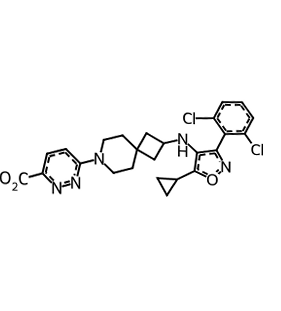 O=C(O)c1ccc(N2CCC3(CC2)CC(Nc2c(-c4c(Cl)cccc4Cl)noc2C2CC2)C3)nn1